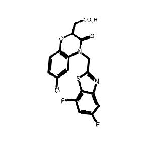 O=C(O)CC1Oc2ccc(Cl)cc2N(Cc2nc3cc(F)cc(F)c3s2)C1=O